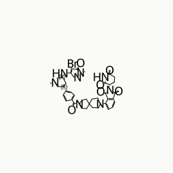 CN1C[C@H](Nc2cnn(C)c(=O)c2Br)C[C@H](c2ccc(C(=O)N3CCC4(CC3)CCN(c3cccc5c3C(=O)N(C3CCC(=O)NC3=O)C5=O)CC4)cc2)C1